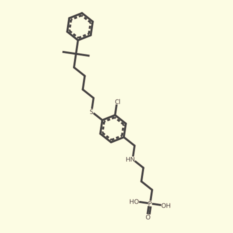 CC(C)(CCCCSc1ccc(CNCCCP(=O)(O)O)cc1Cl)c1ccccc1